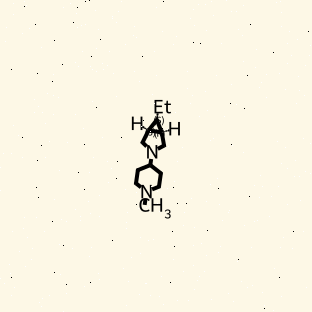 CC[C@@H]1[C@H]2CN(C3CCN(C)CC3)C[C@@H]12